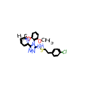 COc1cccc(OC)c1-n1c(NSCCc2ccc(Cl)cc2)nnc1-c1ccccn1